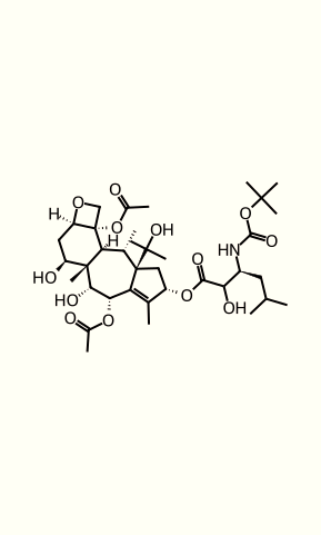 CC(=O)O[C@H]1C2=C(C)[C@@H](OC(=O)C(O)[C@H](CC(C)C)NC(=O)OC(C)(C)C)C[C@@]2(C(C)(C)O)[C@@H](C)[C@@H]2[C@]3(OC(C)=O)CO[C@@H]3C[C@H](O)[C@@]2(C)[C@H]1O